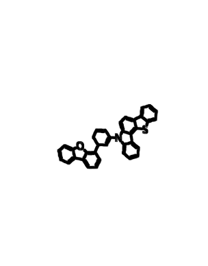 C1=CC(n2c3ccccc3c3c4sc5ccccc5c4ccc32)=CC(c2cccc3c2oc2ccccc23)C1